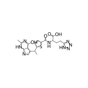 Cc1nc(O)c2c(C(C)c3ccc(C(=O)NC(CCc4nnn[nH]4)C(=O)O)s3)cnc-2[nH]1